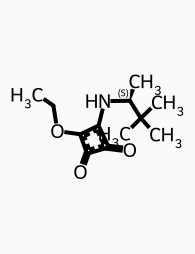 CCOc1c(N[C@@H](C)C(C)(C)C)c(=O)c1=O